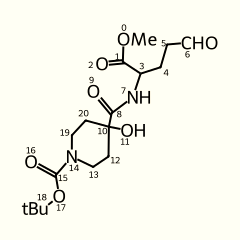 COC(=O)C(CCC=O)NC(=O)C1(O)CCN(C(=O)OC(C)(C)C)CC1